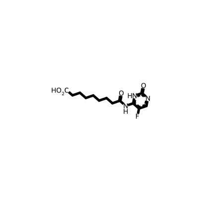 O=C(O)CCCCCCCC(=O)Nc1[nH]c(=O)ncc1F